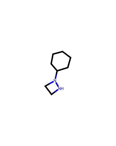 C1CCC(N2CCN2)CC1